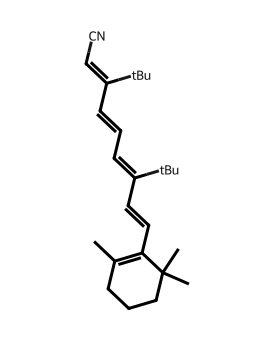 CC1=C(/C=C/C(=C/C=C/C(=C/C#N)C(C)(C)C)C(C)(C)C)C(C)(C)CCC1